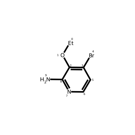 CCOc1c(Br)ccnc1N